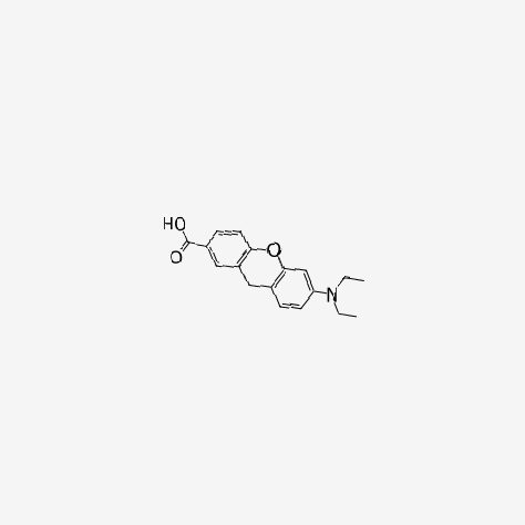 CCN(CC)c1ccc2c(c1)Oc1ccc(C(=O)O)cc1C2